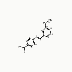 CC(C)c1ccc(/C=C/c2cccc(CO)c2)cc1